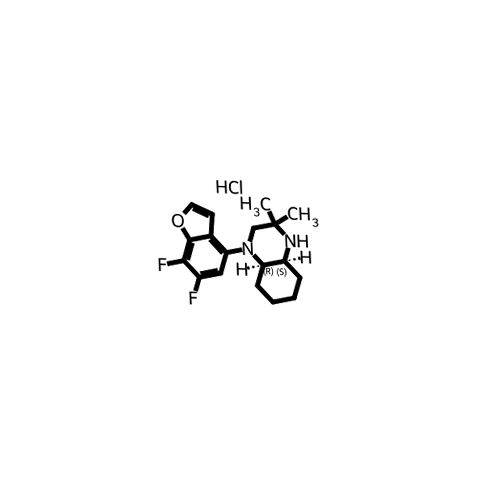 CC1(C)CN(c2cc(F)c(F)c3occc23)[C@@H]2CCCC[C@@H]2N1.Cl